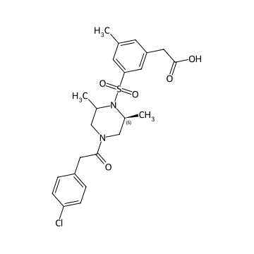 Cc1cc(CC(=O)O)cc(S(=O)(=O)N2C(C)CN(C(=O)Cc3ccc(Cl)cc3)C[C@@H]2C)c1